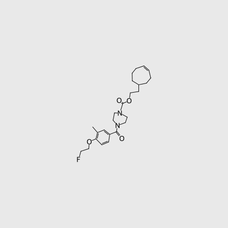 Cc1cc(C(=O)N2CCN(C(=O)OCCC3CC/C=C\CCC3)CC2)ccc1OCCF